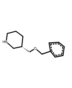 c1ccc(COC[C@H]2CCCNC2)cc1